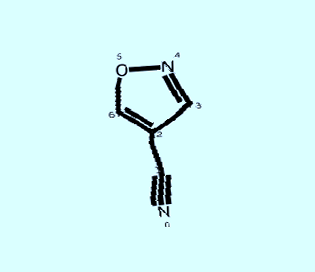 N#Cc1[c]no[c]1